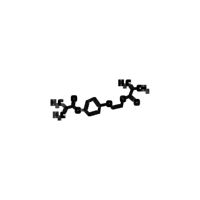 C=C(C)C(=O)O/C=C\Oc1ccc(OC(=O)C(=C)C)cc1